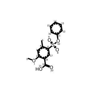 COc1cc(C)c(S(=O)(=O)Oc2ccccc2)cc1C(=O)O